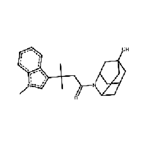 Cn1cc(C(C)(C)CC(=O)N2C3CC4CC2CC(O)(C4)C3)c2ccccc21